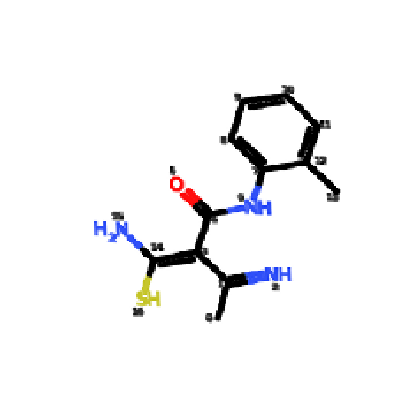 CC(=N)/C(C(=O)Nc1ccccc1C)=C(/N)S